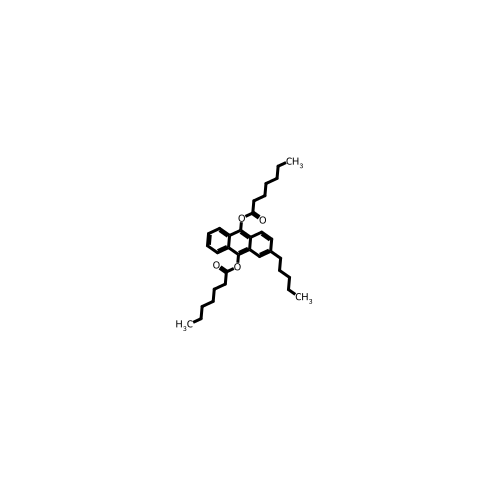 CCCCCCC(=O)Oc1c2ccccc2c(OC(=O)CCCCCC)c2cc(CCCCC)ccc12